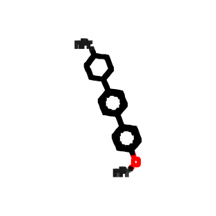 CCCOc1ccc(-c2ccc(C3CCC(CCC)CC3)cc2)cc1